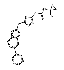 N#CC1(NC(=O)Cc2nnc(Cc3nc4ccc(-c5cncnc5)cc4s3)o2)CC1